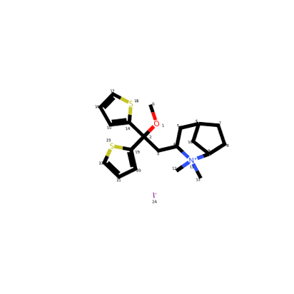 COC(CC1CC2CCC(C2)[N+]1(C)C)(c1cccs1)c1cccs1.[I-]